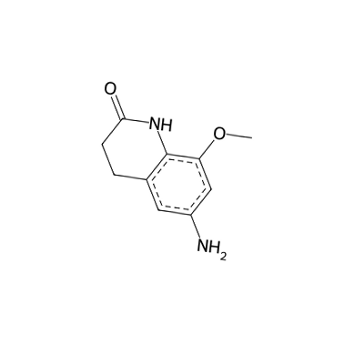 COc1cc(N)cc2c1NC(=O)CC2